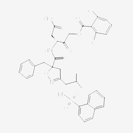 CC(C)[C@H](NS(=O)(=O)c1cccc2ccccc12)C1=NOC(Cc2ccccc2)(C(=O)N[C@@H](CC(=O)O)C(=O)COC(=O)c2c(Cl)cccc2Cl)C1